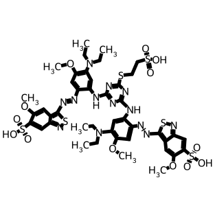 CCN(CC)c1cc(Nc2nc(Nc3cc(N(CC)CC)c(OC)cc3/N=N/c3snc4cc(S(=O)(=O)O)c(OC)cc34)nc(SCCS(=O)(=O)O)n2)c(/N=N/c2snc3cc(S(=O)(=O)O)c(OC)cc23)cc1OC